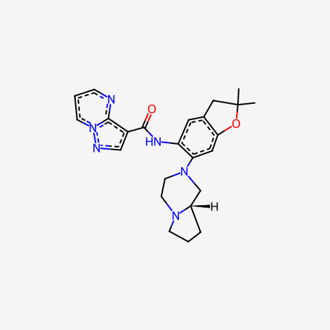 CC1(C)Cc2cc(NC(=O)c3cnn4cccnc34)c(N3CCN4CCC[C@H]4C3)cc2O1